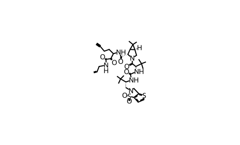 C#CCCC(NC(=O)[C@@H]1C2[C@H](CN1C(=O)[C@@H](NC(=O)N[C@H](CN1Cc3sccc3S1(=O)=O)C(C)(C)C)C(C)(C)C)C2(C)C)C(=O)C(=O)NCC=C